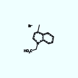 Cc1cc[n+](CC(=O)O)c2ccccc12.[Br-]